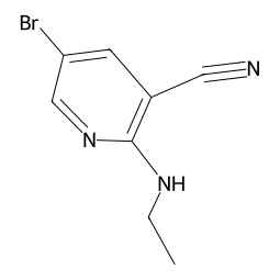 CCNc1ncc(Br)cc1C#N